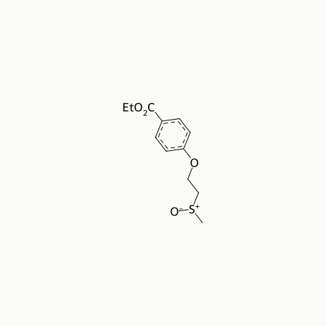 CCOC(=O)c1ccc(OCC[S+](C)[O-])cc1